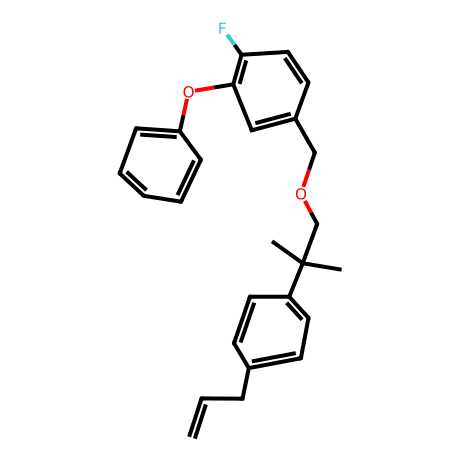 C=CCc1ccc(C(C)(C)COCc2ccc(F)c(Oc3ccccc3)c2)cc1